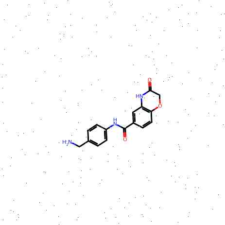 NCc1ccc(NC(=O)c2ccc3c(c2)NC(=O)CO3)cc1